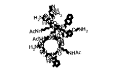 CC(=O)NCCCC[C@@H]1NC(=O)[C@H](Cc2c[nH]c3c(C)cccc23)NC(=O)[C@H]([C@@H](C)O)NC(=O)[C@H](CC(N)=O)NC(=O)[C@@H](NC(C)=O)C(C)(C)SSC(C)(C)[C@@H](C(=O)N[C@@H](Cc2ccc(OCCN)cc2)C(=O)N[C@@H](CCc2ccc3ccccc3c2)C(=O)N[C@@](C)(CCCCN)C(=O)N[C@@H](CCCCNC(C)=O)C(=O)N[C@@H](CC(N)=O)C(=O)N[C@@H](Cc2cnc[nH]2)C(N)=O)NC1=O